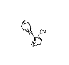 N#Cc1c[c]cnc1N1CCOCC1